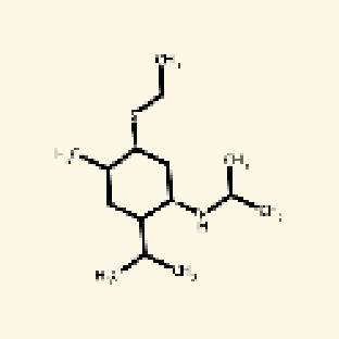 CCS[C@H]1C[C@@H](PC(C)C)C(C(C)C)CC1C